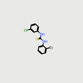 CCc1ccccc1NC(=S)Nc1cccc(Cl)c1